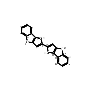 c1ccc2c(c1)oc1cc(-c3cc4oc5ccccc5c4s3)sc12